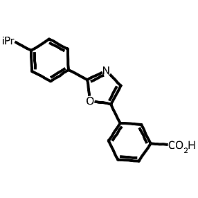 CC(C)c1ccc(-c2ncc(-c3cccc(C(=O)O)c3)o2)cc1